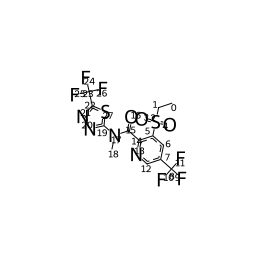 CCS(=O)(=O)c1cc(C(F)(F)F)cnc1C(=O)N(C)c1nnc(C(F)(F)F)s1